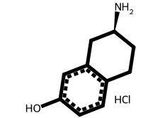 Cl.N[C@H]1CCc2ccc(O)cc2C1